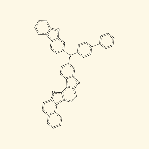 c1ccc(-c2ccc(N(c3ccc4c(c3)oc3ccccc34)c3ccc4c(c3)sc3ccc5c(oc6ccc7ccccc7c65)c34)cc2)cc1